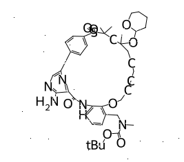 CN(Cc1cccc2c1OCCCCCCC(C)(OC1CCCCO1)CC(C)(C)S(=O)(=O)c1ccc(cc1)-c1cnc(N)c(n1)C(=O)N2)C(=O)OC(C)(C)C